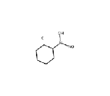 O=NN(O)C1CCCCC1.[K]